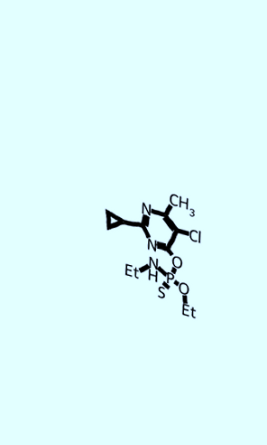 CCNP(=S)(OCC)Oc1nc(C2CC2)nc(C)c1Cl